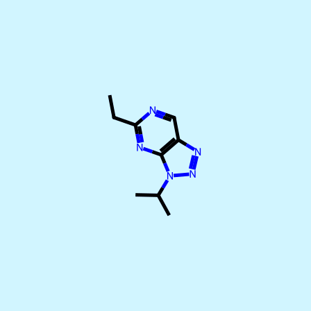 CCc1ncc2nnn(C(C)C)c2n1